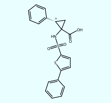 O=C(O)C1(NS(=O)(=O)c2ccc(-c3ccccc3)s2)C[C@H]1c1ccccc1